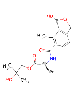 Cc1c(C(=O)N[C@H](C(=O)OCC(C)(C)O)C(C)C)ccc2c1B(O)OC2